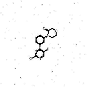 O=C1COCCN1c1cccc(-c2nc(Cl)ncc2F)c1